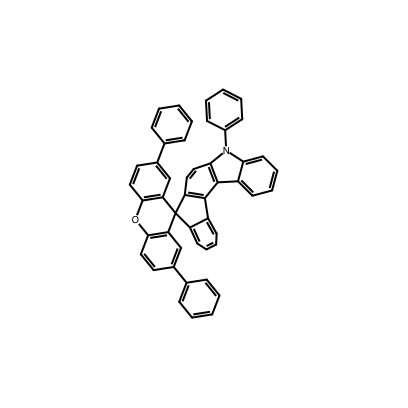 c1ccc(-c2ccc3c(c2)C2(c4cc(-c5ccccc5)ccc4O3)c3ccccc3-c3c2ccc2c3c3ccccc3n2-c2ccccc2)cc1